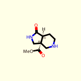 COC(=O)[C@@]12CNCC[C@@H]1C(=O)NC2